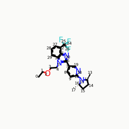 CCOCCn1c(-c2ccc(N3[C@@H](C)CC[C@@H]3C)nc2)nc2c(C(F)(F)F)cccc21